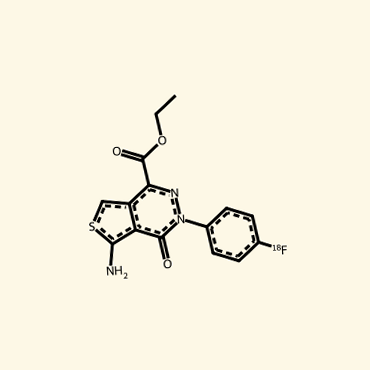 CCOC(=O)c1nn(-c2ccc([18F])cc2)c(=O)c2c(N)scc12